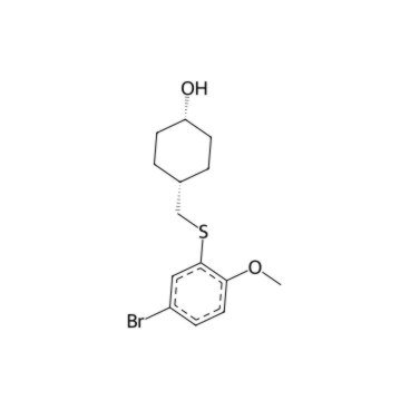 COc1ccc(Br)cc1SC[C@H]1CC[C@@H](O)CC1